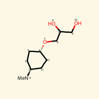 CN[C@H]1CC[C@H](OCC(O)CO)CC1